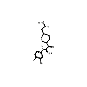 CSNCC1CCC(C(=O)C(=N)Nc2ccc(F)c(Br)c2)CC1